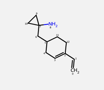 C=CC1=CCC(CC2(N)CC2)CC1